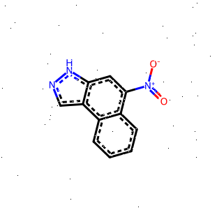 O=[N+]([O-])c1cc2[nH]n[c]c2c2ccccc12